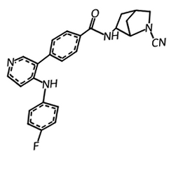 N#CN1CC2CC(NC(=O)c3ccc(-c4cnccc4Nc4ccc(F)cc4)cc3)C1C2